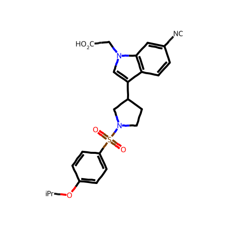 [C-]#[N+]c1ccc2c(C3CCN(S(=O)(=O)c4ccc(OC(C)C)cc4)C3)cn(CC(=O)O)c2c1